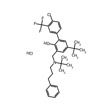 CC(C)(C)c1cc(CN(CCCc2ccccc2)C(C)(C)C)c(O)c(-c2ccc(Cl)c(C(F)(F)F)c2)c1.Cl